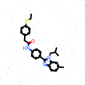 CCSc1ccc(CC(=O)Nc2ccc(-c3nc4ccc(C)cc4n3CC(C)C)cc2)cc1